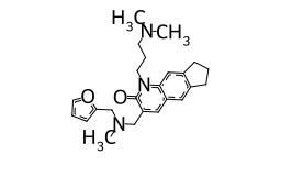 CN(C)CCCn1c(=O)c(CN(C)Cc2ccco2)cc2cc3c(cc21)CCC3